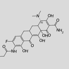 CN(C)CC(=O)Nc1c(F)cc2c(c1O)C(=O)C1=C(O)C3(O)C(=O)C(C(N)=O)=C(O)[C@@H](N(C)C)C3CC1C2